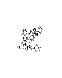 C[C@H]1CC[C@@H](Nc2ncnc3c2c(C2CCCC2)cn3S(=O)(=O)c2ccccc2)CN1C(=O)OCc1ccccc1